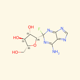 NC1=NC(F)([C@@H]2O[C@H](CO)[C@@H](O)[C@@H]2O)N=C2N=CN=C12